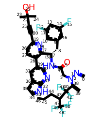 C=NN(CC(=O)N[C@@H](Cc1cc(F)cc(F)c1)c1nc(C#CC(C)(C)O)ccc1-c1cnc2[nH]ccc2c1)C(=C)C(F)(F)C(CCC)C(F)(F)F